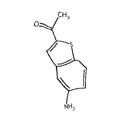 CC(=O)c1cc2cc(N)ccc2s1